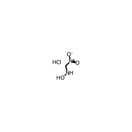 Cl.O=[N+]([O-])CNO